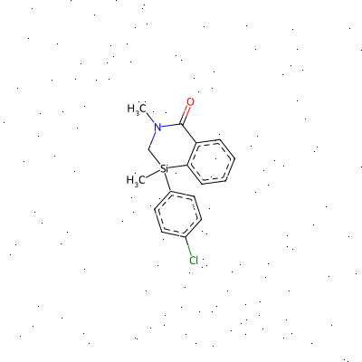 CN1C[Si](C)(c2ccc(Cl)cc2)c2ccccc2C1=O